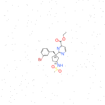 CCOC(=O)c1ccnc([C@@]2(Cc3cccc(Br)c3)CC[C@H](NS(C)(=O)=O)C2)n1